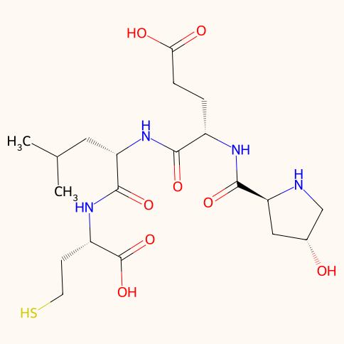 CC(C)C[C@H](NC(=O)[C@H](CCC(=O)O)NC(=O)[C@@H]1C[C@@H](O)CN1)C(=O)N[C@@H](CCS)C(=O)O